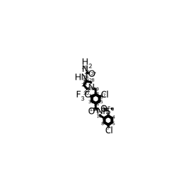 C[S+]([O-])c1ccc(Cl)cc1CNC(=O)c1cc(Cl)c(CN2CC[C@@H](NC(N)=O)C2)c(C(F)(F)F)c1